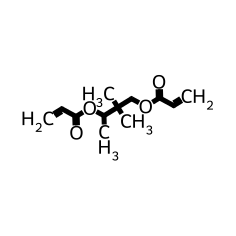 C=CC(=O)OCC(C)(C)C(C)OC(=O)C=C